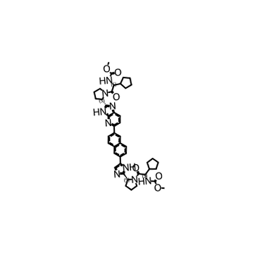 COC(=O)N[C@H](C(=O)N1CCC[C@H]1c1ncc(-c2ccc3cc(-c4ccc5nc([C@@H]6CCCN6C(=O)[C@@H](NC(=O)OC)C6CCCC6)[nH]c5n4)ccc3c2)[nH]1)C1CCCC1